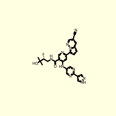 CC(C)(O)[C@H](F)CNC(=O)c1cnc(-c2ccc3cc(C#N)cnn23)cc1Nc1cnc(-c2cn[nH]c2)nc1